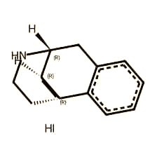 I.c1ccc2c(c1)C[C@H]1NCC[C@@]23CCCC[C@@H]13